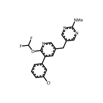 CNc1ncc(Cc2cnc(OC(F)F)c(-c3cccc(Cl)c3)c2)cn1